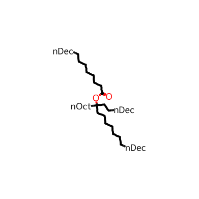 CCCCCCCCCCCCCCCCCC(=O)OC(CCCCCCCC)(CCCCCCCCCCCC)CCCCCCCCCCCCCCCCC